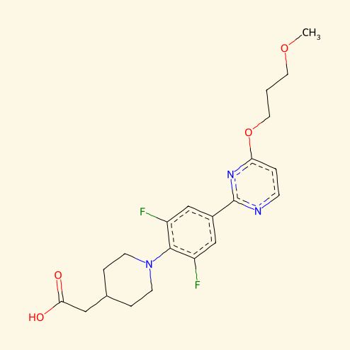 COCCCOc1ccnc(-c2cc(F)c(N3CCC(CC(=O)O)CC3)c(F)c2)n1